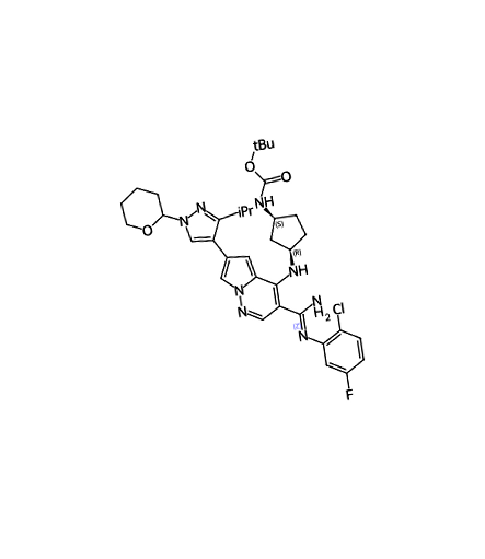 CC(C)c1nn(C2CCCCO2)cc1-c1cc2c(N[C@@H]3CC[C@H](NC(=O)OC(C)(C)C)C3)c(/C(N)=N/c3cc(F)ccc3Cl)cnn2c1